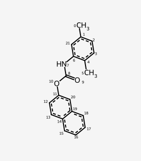 Cc1ccc(C)c(NC(=O)Oc2ccc3ccccc3c2)c1